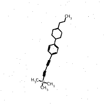 CCCC1CCC(c2ccc(C#CC#C[Si](C)(C)C)cc2)CC1